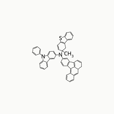 CC1(N(c2ccc3c(c2)C2=C4C3=c3ccccc3=CC4CC=C2)c2ccc3c(c2)c2ccccc2n3-c2ccccc2)C=Cc2sc3ccccc3c2C1